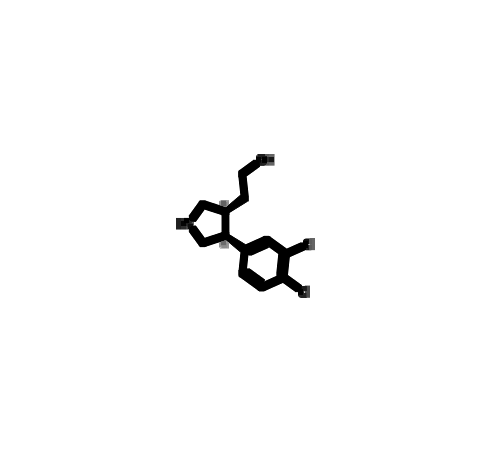 OCC[C@@H]1CNC[C@@H]1c1ccc(Cl)c(Cl)c1